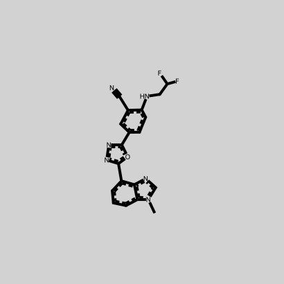 Cn1cnc2c(-c3nnc(-c4ccc(NCC(F)F)c(C#N)c4)o3)cccc21